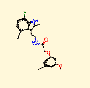 COc1cc(C)cc(OCC(=O)NCCc2c(C)[nH]c3c(F)ccc(C)c23)c1